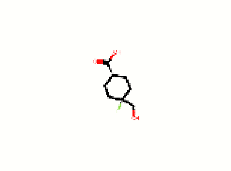 O=C(O)[C@H]1CC[C@](F)(CO)CC1